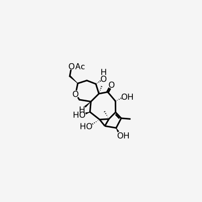 CC(=O)OC[C@H]1C[C@H](O)[C@@]2(C)C(=O)[C@H](O)C3=C(C)[C@@H](O)C4[C@@]3(C)[C@]4(O)[C@@H](O)[C@@H]2CO1